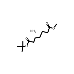 COC(=O)CCCCCC(=O)OC(C)(C)C.N